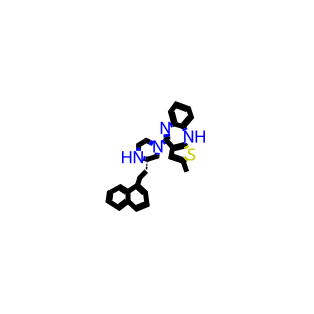 Cc1cc2c(s1)Nc1ccccc1N=C2N1CCN[C@@H](CCc2cccc3ccccc23)C1